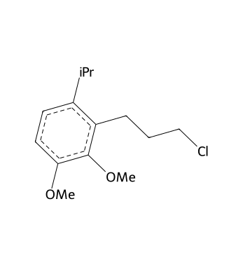 COc1ccc(C(C)C)c(CCCCl)c1OC